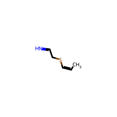 C/C=C\SCC=N